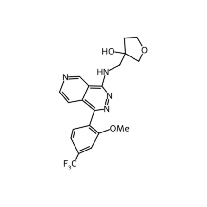 COc1cc(C(F)(F)F)ccc1-c1nnc(NCC2(O)CCOC2)c2cnccc12